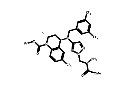 COC(=O)[C@H](N)Cn1nnc(N(Cc2cc(C(F)(F)F)cc(C(F)(F)F)c2)[C@@H]2C[C@@H](C)N(C(=O)OC(C)C)c3ccc(C(F)(F)F)cc32)n1